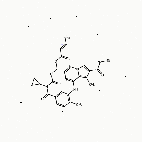 CCNC(=O)c1cn2ncnc(Nc3cc(C(=O)N(C(=O)OCOC(=O)/C=C/C(=O)O)C4CC4)ccc3C)c2c1C